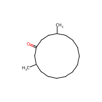 CC1CCCCCCCCCCC(C)CC(=O)CC1